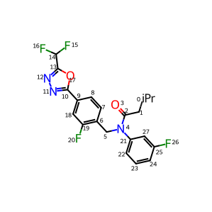 CC(C)CC(=O)N(Cc1ccc(-c2nnc(C(F)F)o2)cc1F)c1cccc(F)c1